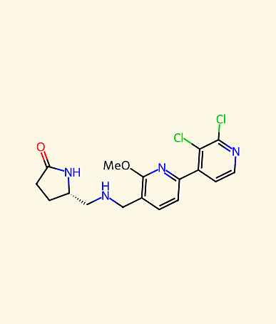 COc1nc(-c2ccnc(Cl)c2Cl)ccc1CNC[C@@H]1CCC(=O)N1